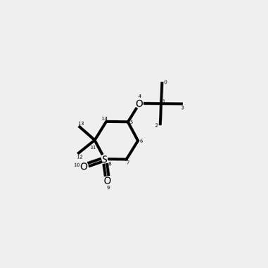 CC(C)(C)OC1CCS(=O)(=O)C(C)(C)C1